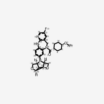 CC(C)O[C@H]1CC[C@H](C(=O)N2Cc3cc(F)cnc3Nc3ccc(N4[C@@H]5CO[C@H]6C5[C@@]65OC[C@@H]45)cc32)CC1